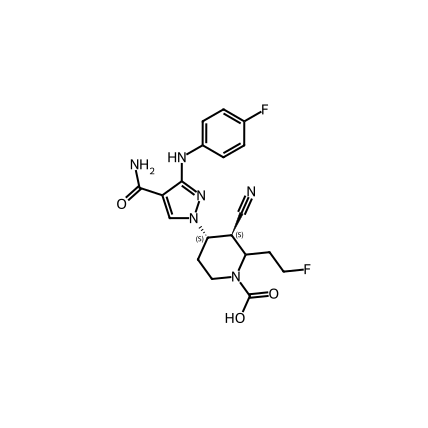 N#C[C@H]1C(CCF)N(C(=O)O)CC[C@@H]1n1cc(C(N)=O)c(Nc2ccc(F)cc2)n1